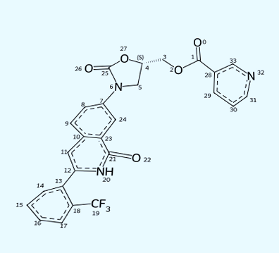 O=C(OC[C@@H]1CN(c2ccc3cc(-c4ccccc4C(F)(F)F)[nH]c(=O)c3c2)C(=O)O1)c1cccnc1